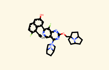 C#Cc1c(F)ccc2cc(O)cc(-c3ncc4c(N5CC6CCC(C5)N6)nc(OCC56CCC7CCC(CC5)N76)nc4c3F)c12